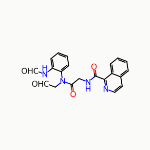 O=CCN(C(=O)CNC(=O)c1nccc2ccccc12)c1ccccc1NC=O